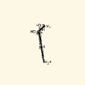 CN[C@@H](CCCCNC(=O)CC[C@H](NC(=O)CCOCCOCCOCCOCCNC(=O)CCCCCCCCCCCCCCCCC(=O)O)C(=O)O)C(=O)O